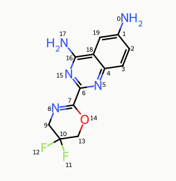 Nc1ccc2nc(C3=NCC(F)(F)CO3)nc(N)c2c1